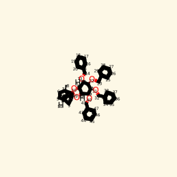 CC12C3C[C@@H]1CC[C@]2(C)C31O[C@@H]2[C@H](OCc3ccccc3)[C@@H](OCc3ccccc3)[C@H](OCc3ccccc3)[C@@H](OCc3ccccc3)[C@@H]2O1